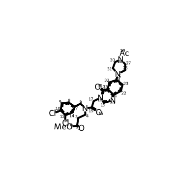 COC(=O)CCN(Cc1ccc(Cl)c(Cl)c1)C(=O)Cn1cnc2ccc(N3CCN(C(C)=O)CC3)cc2c1=O